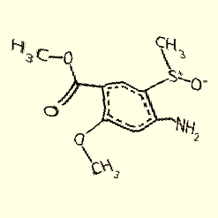 COC(=O)c1cc([S+](C)[O-])c(N)cc1OC